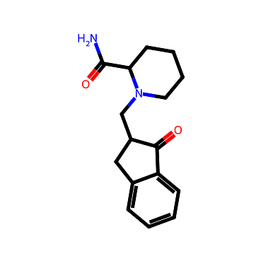 NC(=O)C1CCCCN1CC1Cc2ccccc2C1=O